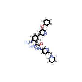 N=C(C(=O)Nc1ccc(CN2CCCCC2)nc1)c1cc(-c2cncc(Oc3ccccc3)c2)ccc1N